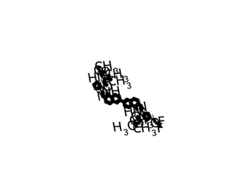 COC(=O)N[C@H](C(=O)N1CCC[C@H]1c1nc2ccc3cc(-c4ccc5c(ccc6nc([C@@H]7C[C@H](COC(F)F)CN7C(=O)OC(C)(C)C)[nH]c65)c4)ccc3c2[nH]1)C(C)C